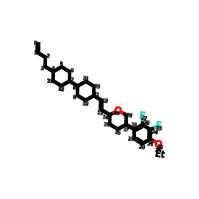 C=CCCC1CCC(C2CCC(/C=C/C3CCC(c4ccc(OCC)c(F)c4F)CO3)CC2)CC1